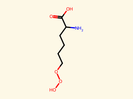 NC(CCCCOOO)C(=O)O